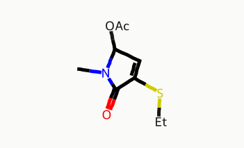 CCSC1=CC(OC(C)=O)N(C)C1=O